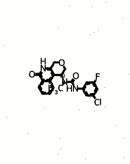 CN(C(=O)Nc1cc(F)cc(Cl)c1)[C@@H]1COCc2[nH]c(=O)c3ccccc3c21